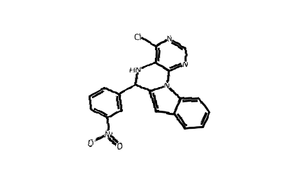 O=[N+]([O-])c1cccc(C2Nc3c(Cl)ncnc3-n3c2cc2ccccc23)c1